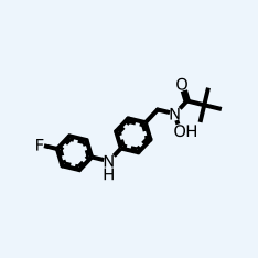 CC(C)(C)C(=O)N(O)Cc1ccc(Nc2ccc(F)cc2)cc1